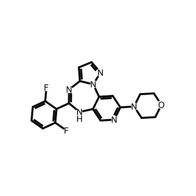 Fc1cccc(F)c1C1=Nc2ccnn2-c2cc(N3CCOCC3)ncc2N1